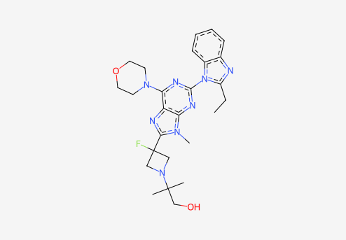 CCc1nc2ccccc2n1-c1nc(N2CCOCC2)c2nc(C3(F)CN(C(C)(C)CO)C3)n(C)c2n1